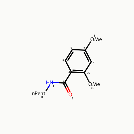 CCCCCNC(=O)c1ccc(OC)cc1OC